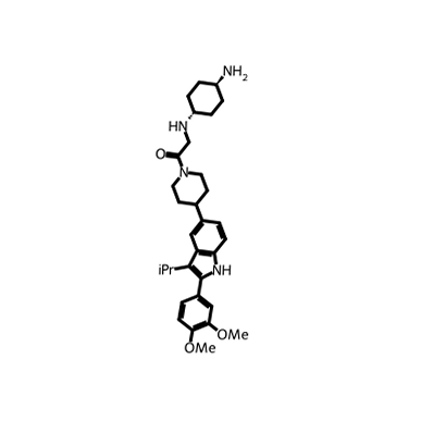 COc1ccc(-c2[nH]c3ccc(C4CCN(C(=O)CN[C@H]5CC[C@H](N)CC5)CC4)cc3c2C(C)C)cc1OC